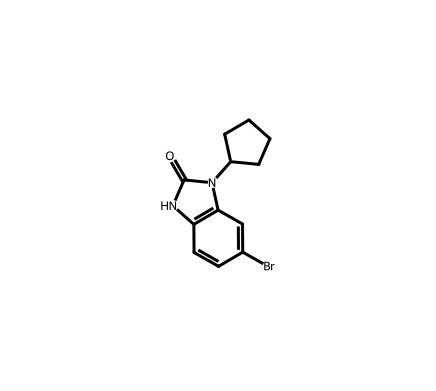 O=c1[nH]c2ccc(Br)cc2n1C1CCCC1